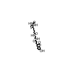 O=C(/C=C/c1cc2ccc(O)cc2oc1=O)NCCNC(=O)CCCCC1SCC2NC(=O)NC21